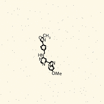 COc1ccn2c(-c3cc(NCc4ccc(-c5coc(C)n5)cc4)ncn3)cnc2c1